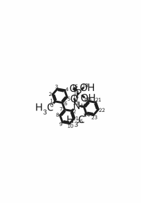 Cc1ccccc1-c1ccccc1N(OP(=O)(O)O)c1ccccc1C